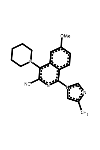 COc1ccc2c(-n3cnc(C)c3)nc(C#N)c(N3CCCCC3)c2c1